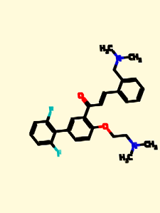 CN(C)CCOc1ccc(-c2c(F)cccc2F)cc1C(=O)C=Cc1ccccc1CN(C)C